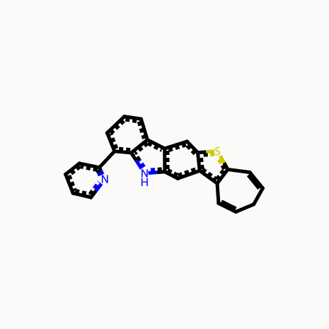 C1=Cc2sc3cc4c(cc3c2C=CC1)[nH]c1c(-c2ccccn2)cccc14